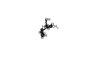 Cc1ccc(NC(=O)[C@H](CCCc2cccc3c2CN(C2CCC(=O)NC2=O)C3=O)NC(=O)CCCCCO)cc1Cl